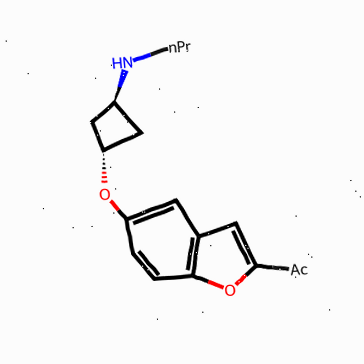 CCCN[C@H]1C[C@H](Oc2ccc3oc(C(C)=O)cc3c2)C1